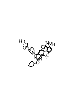 C=CC(=O)N1CCN(c2nc(OC3CCCCC3)nc3c(F)c(-c4c(C)ccc5[nH]ncc45)c(Cl)cc23)CC1